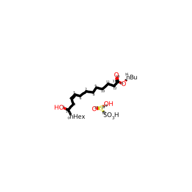 CCCCCCC(O)C/C=C\CCCCCCCC(=O)OCCCC.O=S(O)S(=O)(=O)O